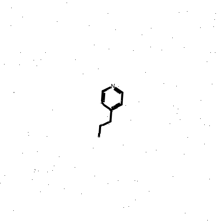 CCCc1[c]cncc1